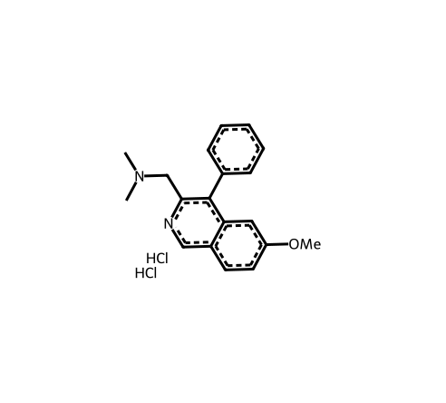 COc1ccc2cnc(CN(C)C)c(-c3ccccc3)c2c1.Cl.Cl